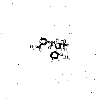 COc1c([C@H]2[C@H](C(=O)Nc3ccnc(C(N)=O)c3)N[C@@](C)(C(F)(F)F)[C@H]2C)ccc(F)c1F